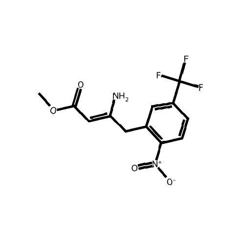 COC(=O)C=C(N)Cc1cc(C(F)(F)F)ccc1[N+](=O)[O-]